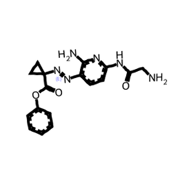 NCC(=O)Nc1ccc(/N=N/C2(C(=O)Oc3ccccc3)CC2)c(N)n1